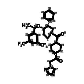 C[C@@H](O[C@H]1CCN(C(=O)C2CCN(C(=O)Cn3cncn3)CC2)C[C@H]1c1ccccc1)c1cc(C(F)(F)F)cc(C(F)(F)F)c1